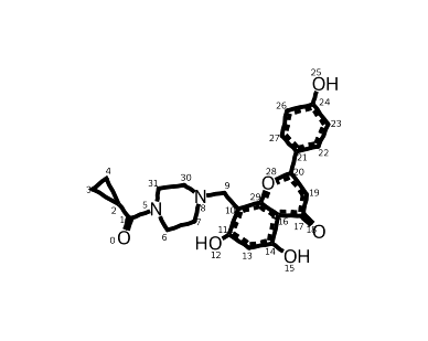 O=C(C1CC1)N1CCN(Cc2c(O)cc(O)c3c(=O)cc(-c4ccc(O)cc4)oc23)CC1